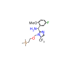 COc1ccc(F)cc1C(N)c1ncc(C(F)(F)F)n1COCCS(C)(C)C